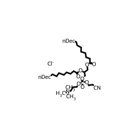 CCCCCCCCCCCCCCCCCC(=O)OCC(COP(=O)(OCCC#N)OCCC[N+](C)(C)C)OC(=O)CCCCCCCCCCCCCCCCC.[Cl-]